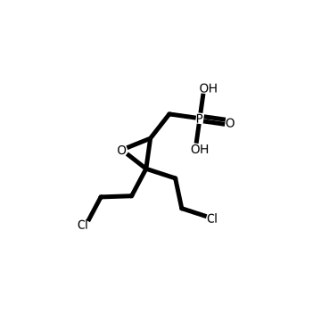 O=P(O)(O)CC1OC1(CCCl)CCCl